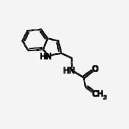 C=CC(=O)NCc1cc2ccccc2[nH]1